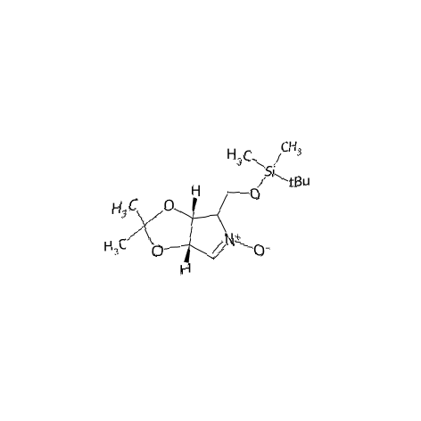 CC1(C)O[C@H]2C=[N+]([O-])C(CO[Si](C)(C)C(C)(C)C)[C@H]2O1